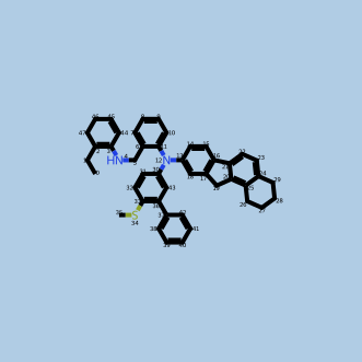 CCC1=C(NCc2ccccc2N(c2ccc3c(c2)Cc2c-3ccc3c2CCCC3)c2ccc(SC)c(-c3ccccc3)c2)C=CCC1